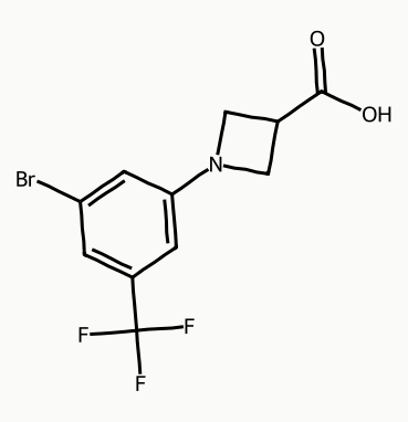 O=C(O)C1CN(c2cc(Br)cc(C(F)(F)F)c2)C1